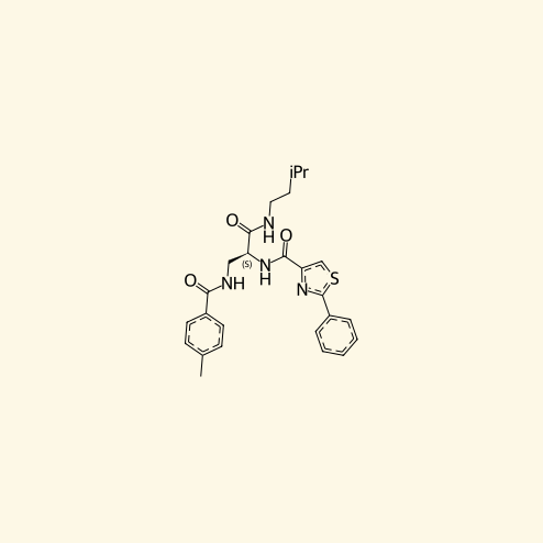 Cc1ccc(C(=O)NC[C@H](NC(=O)c2csc(-c3ccccc3)n2)C(=O)NCCC(C)C)cc1